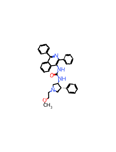 COCCN1C[C@@H](NC(=O)Nc2c(-c3ccccc3)nc(-c3ccccc3)c3ccccc23)[C@H](c2ccccc2)C1